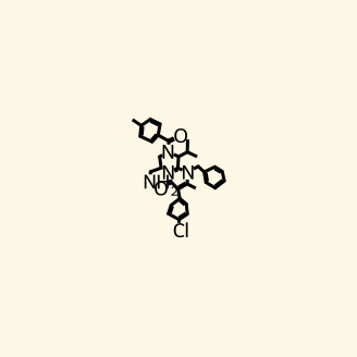 Cc1ccc(C(=O)N(CCCN)C(c2nc(=O)c(-c3ccc(Cl)cc3)c(C)n2Cc2ccccc2)C(C)C)cc1